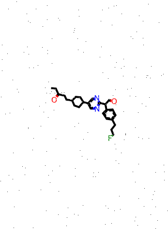 CCC(=O)CCC1CCC(c2cnc(C(C=O)c3ccc(CCCF)cc3)nc2)CC1